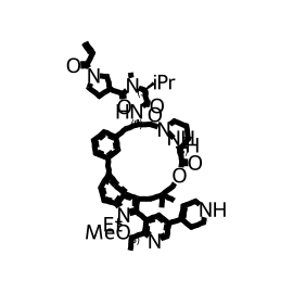 C=CC(=O)N1CCC(C(=O)N(C)[C@H](C(=O)N[C@H]2Cc3cccc(c3)-c3ccc4c(c3)c(c(-c3cc(C5=CCNCC5)cnc3[C@H](C)OC)n4CC)CC(C)(C)COC(=O)[C@@H]3CCCN(N3)C2=O)C(C)C)C1